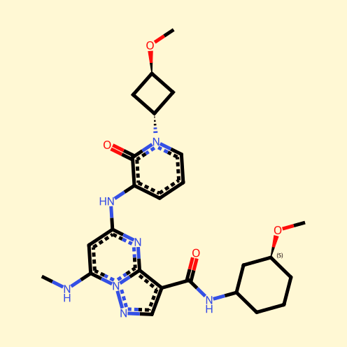 CNc1cc(Nc2cccn([C@H]3C[C@H](OC)C3)c2=O)nc2c(C(=O)NC3CCC[C@H](OC)C3)cnn12